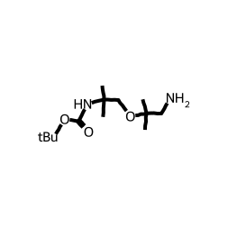 CC(C)(COC(C)(C)CN)NC(=O)OC(C)(C)C